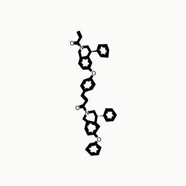 C=CC(=O)N1Cc2ccc(Oc3ccc(/C=C/C(=O)N4Cc5ccc(Oc6ccccc6)cc5[C@@H](c5ccccc5)C4)cc3)cc2[C@H](c2ccccc2)C1